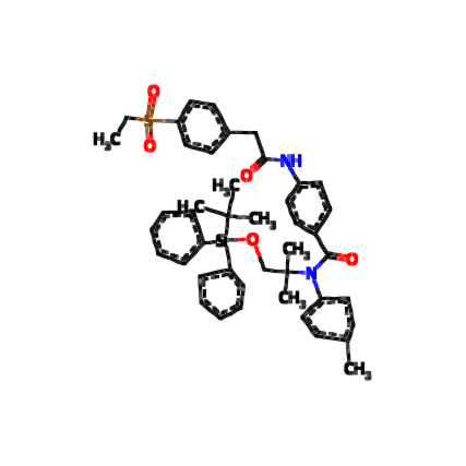 CCS(=O)(=O)c1ccc(CC(=O)Nc2ccc(C(=O)N(c3ccc(C)cc3)C(C)(C)CO[Si](c3ccccc3)(c3ccccc3)C(C)(C)C)cc2)cc1